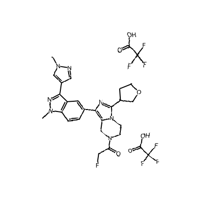 Cn1cc(-c2nn(C)c3ccc(-c4nc(C5CCOC5)n5c4CN(C(=O)CF)CC5)cc23)cn1.O=C(O)C(F)(F)F.O=C(O)C(F)(F)F